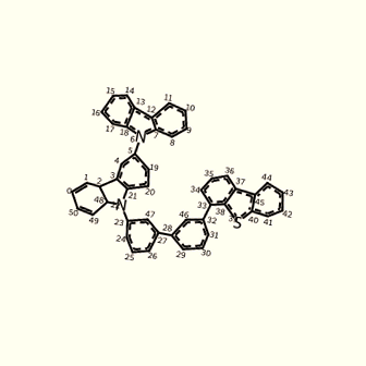 C1=CC2c3cc(-n4c5ccccc5c5ccccc54)ccc3N(c3cccc(-c4cccc(-c5cccc6c5sc5ccccc56)c4)c3)C2C=C1